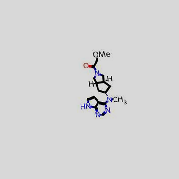 COCC(=O)N1C[C@H]2C[C@@H](N(C)c3ncnc4[nH]ccc34)C[C@H]2C1